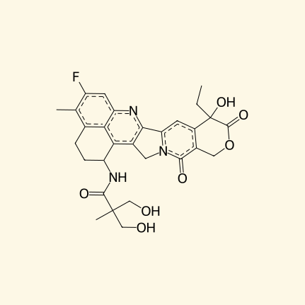 CCC1(O)C(=O)OCc2c1cc1n(c2=O)Cc2c-1nc1cc(F)c(C)c3c1c2C(NC(=O)C(C)(CO)CO)CC3